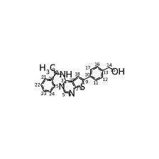 C[C@@H](Nc1ncnc2sc(-c3ccc(CO)cc3)cc12)c1ccccc1